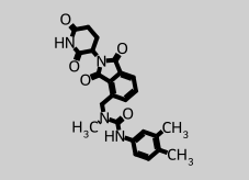 Cc1ccc(NC(=O)N(C)Cc2cccc3c2C(=O)N(C2CCC(=O)NC2=O)C3=O)cc1C